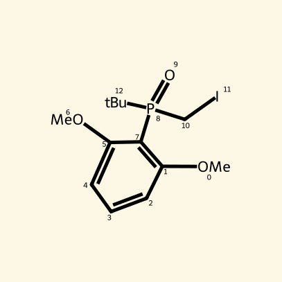 COc1cccc(OC)c1P(=O)(CI)C(C)(C)C